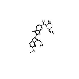 COc1ccc2cc(-c3nc4cc(C(=O)N5C[C@H](N)CC[C@@H]5C)ccc4n3C)n(CC3CC3)c2n1